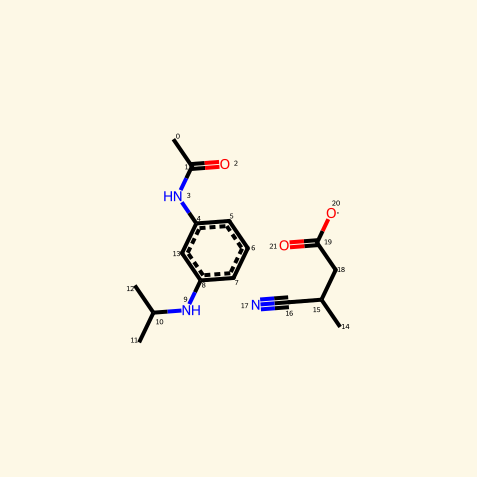 CC(=O)Nc1cccc(NC(C)C)c1.CC(C#N)CC([O])=O